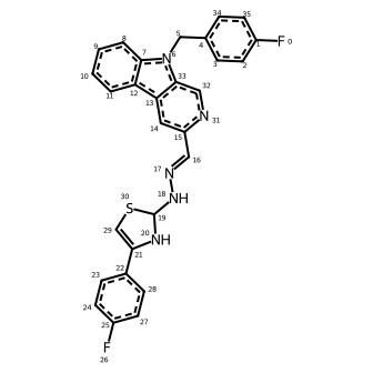 Fc1ccc(Cn2c3ccccc3c3cc(C=NNC4NC(c5ccc(F)cc5)=CS4)ncc32)cc1